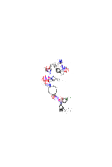 C1COCCN1.CC(Cc1ccc(C(C)(C)C)cc1)CN1C[C@@H](C)O[C@@H](C)C1.CC1CN(C2CCCCCCCCCCC2)CC(C)O1.CCCCCCCCCCCCc1ccc(S(=O)(=O)O)cc1.CN(C)C(=S)SCN1CCOCC1.COc1ccc(/C(=C/C(=O)N2CCOCC2)c2ccc(Cl)cc2)cc1OC